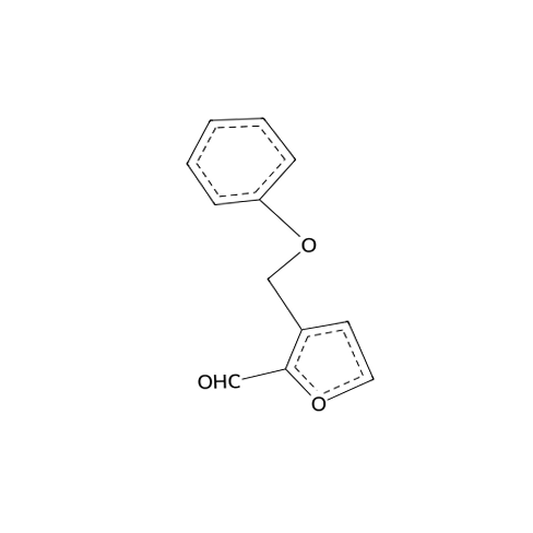 O=Cc1occc1COc1ccccc1